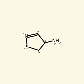 N[C]1[C]=NSC1